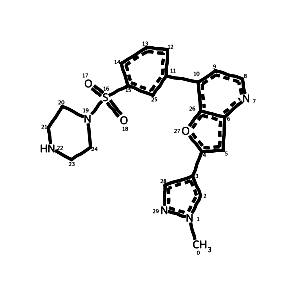 Cn1cc(-c2cc3nccc(-c4cccc(S(=O)(=O)N5CCNCC5)c4)c3o2)cn1